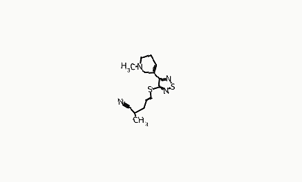 CC(C#N)CCCSc1nsnc1C1=CCCN(C)C1